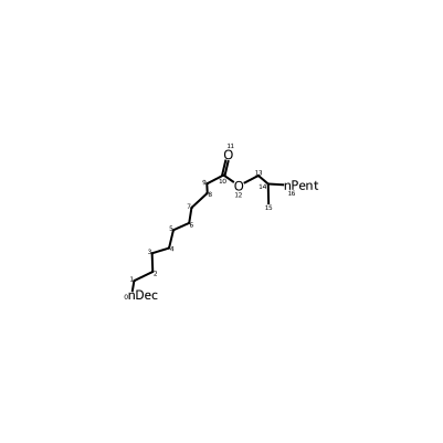 CCCCCCCCCCCCCCCCCCCC(=O)OCC(C)CCCCC